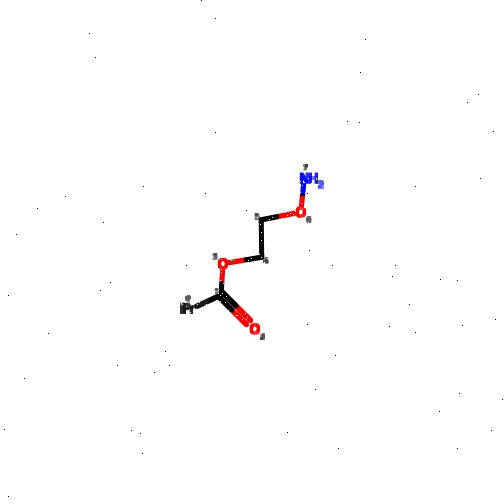 CC(C)C(=O)OCCON